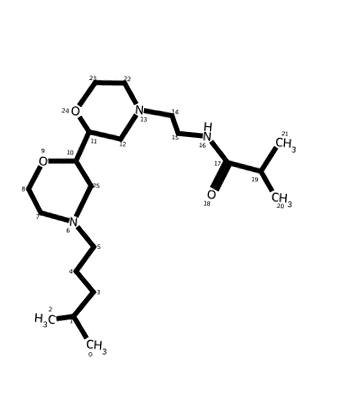 CC(C)CCCN1CCOC(C2CN(CCNC(=O)C(C)C)CCO2)C1